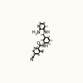 N#Cc1cnc(C(=O)Nc2cccc(CNc3cccnc3N)c2)c(F)c1